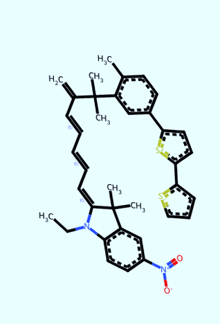 C=C(/C=C/C=C/C=C1/N(CC)c2ccc([N+](=O)[O-])cc2C1(C)C)C(C)(C)c1cc(-c2ccc(-c3cccs3)s2)ccc1C